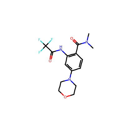 CN(C)C(=O)c1ccc(N2CCOCC2)cc1NC(=O)C(F)(F)F